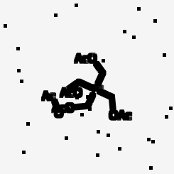 CC(=O)OC[P+](COC(C)=O)(COC(C)=O)COC(C)=O.CC(=O)[O-]